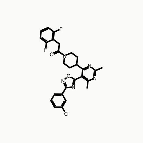 Cc1nc(C)c(-c2nc(-c3cccc(Cl)c3)no2)c(C2CCN(C(=O)Cc3c(F)cccc3F)CC2)n1